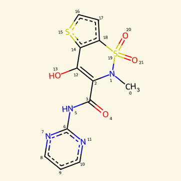 CN1C(C(=O)Nc2ncccn2)=C(O)c2sccc2S1(=O)=O